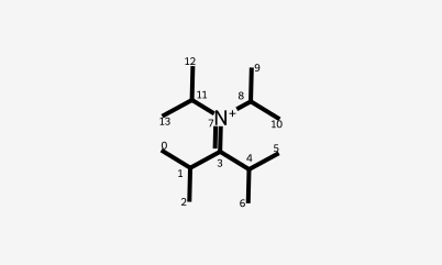 CC(C)C(C(C)C)=[N+](C(C)C)C(C)C